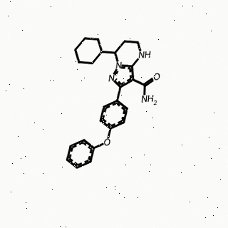 NC(=O)c1c(-c2ccc(Oc3ccccc3)cc2)nn2c1NCCC2C1CCCCC1